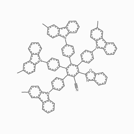 Cc1ccc2c(c1)c1ccccc1n2-c1ccc(-c2c(C#N)c(-c3nc4ccccc4o3)c(-c3ccc(-n4c5ccccc5c5cc(C)ccc54)cc3)c(-c3ccc(-n4c5ccccc5c5cc(C)ccc54)cc3)c2-c2ccc(-n3c4ccccc4c4cc(C)ccc43)cc2)cc1